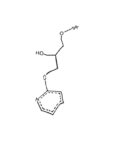 CCCOCC(O)COc1ccccn1